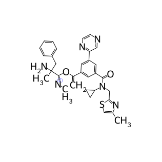 C=C(O/C(=N\C)C(C)(N)Cc1ccccc1)c1cc(C(=O)N(Cc2nc(C)cs2)C2CC2)cc(-c2cnccn2)c1